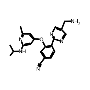 Cc1cc(Oc2cc(C#N)ccc2-c2ncc(CN)cn2)cc(NC(C)C)n1